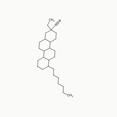 CCCCCCCC1CCCC2C1CCC1C3CCC(C#N)(CC)CC3CCC21